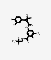 O=C(NCC(F)(F)C(F)(F)F)c1cc(NC(=O)C2C(c3ccc(F)c(Cl)c3)C2(Cl)Cl)cc(C(F)(F)F)c1F